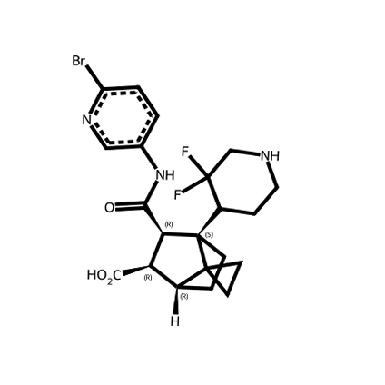 O=C(O)[C@@H]1[C@H]2CC[C@@](C3CCNCC3(F)F)([C@@H]1C(=O)Nc1ccc(Br)nc1)C21CC1